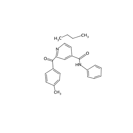 CCCC.Cc1ccc(C(=O)c2cc(C(=O)Nc3ccccc3)ccn2)cc1